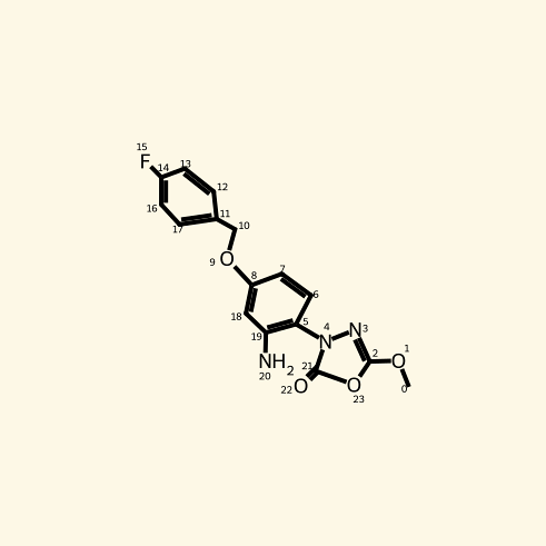 COc1nn(-c2ccc(OCc3ccc(F)cc3)cc2N)c(=O)o1